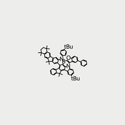 CC(C)(C)c1ccc(N2B3c4oc5ccc(-c6ccccc6)cc5c4-n4c5ccc(C(C)(C)C)cc5c5c6c(c(c3c54)-c3cc4c(cc32)-c2cc3c(cc2C4(C)C)C(C)(C)CCC3(C)C)-c2ccccc2C6(C)C)cc1